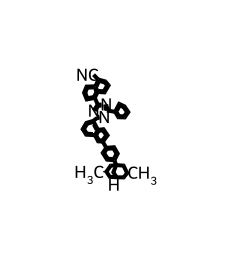 C[C@@H]1C[C@@H]2C[C@H](C)CC(c3ccc(-c4ccc5c(-c6nc(-c7ccccc7)nc(-c7cccc8c(C#N)cccc78)n6)cccc5c4)cc3)(C1)C2